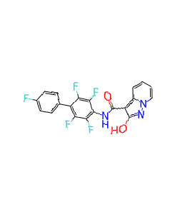 O=C(Nc1c(F)c(F)c(-c2ccc(F)cc2)c(F)c1F)c1c(O)nn2ccccc12